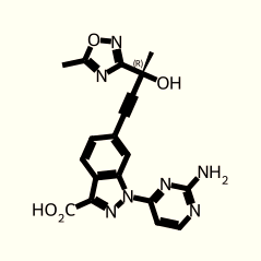 Cc1nc([C@](C)(O)C#Cc2ccc3c(C(=O)O)nn(-c4ccnc(N)n4)c3c2)no1